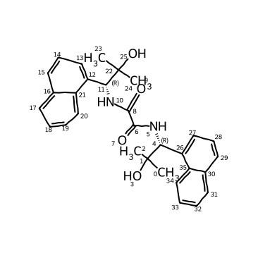 CC(C)(O)[C@H](NC(=O)C(=O)N[C@H](c1cccc2ccccc12)C(C)(C)O)c1cccc2ccccc12